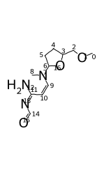 COCC1CCC(N(C)/C=C\C(N)=N/C=O)O1